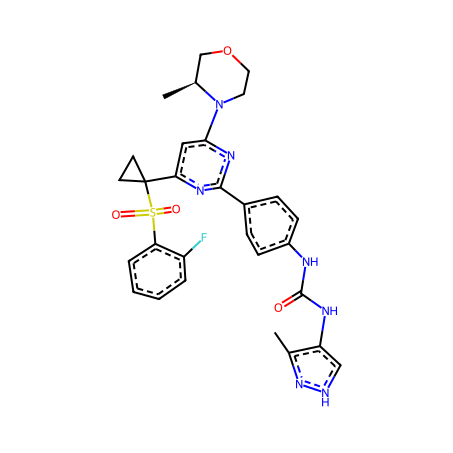 Cc1n[nH]cc1NC(=O)Nc1ccc(-c2nc(N3CCOC[C@@H]3C)cc(C3(S(=O)(=O)c4ccccc4F)CC3)n2)cc1